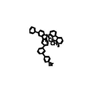 CC1(C)c2ccccc2-c2cccc(-n3c4ccc(-c5ccccc5)cc4c4cc(-c5cccc(-c6ccc(Br)cc6)c5)ccc43)c21